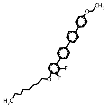 CCCCCCCCOc1ccc(-c2ccc(-c3ccc(-c4ccc(OCC)cc4)cc3)cc2)c(F)c1F